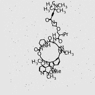 CCn1c(-c2cccnc2[C@H](C)OC)c2c3cc(ccc31)-c1nc(nn1C)C[C@H](NC(=O)C(COC1CN(C(=O)C#CC(C)(C)N(C)C)C1)C(C)C)C(=O)N1CCC[C@H](N1)C(=O)OCC(C)(C)C2